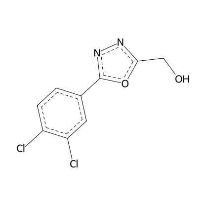 OCc1nnc(-c2ccc(Cl)c(Cl)c2)o1